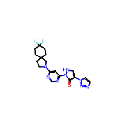 O=c1c(-n2ccnn2)c[nH]n1-c1cc(N2CCC3(CCC(F)(F)CC3)C2)ncn1